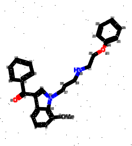 COc1cccc2c(C(=O)c3ccccc3)cn(CCCNCCOc3ccccc3)c12